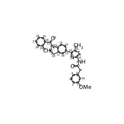 COc1cccc(CC(=O)Nc2nc(-c3ccc4c(c3)CCN4C(=O)c3ccccc3C)c(C)s2)c1